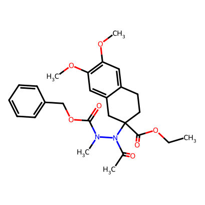 CCOC(=O)C1(N(C(C)=O)N(C)C(=O)OCc2ccccc2)CCc2cc(OC)c(OC)cc2C1